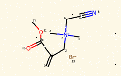 C=C(C[N+](C)(C)CC#N)C(=O)OC.[Br-]